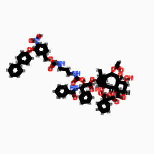 CC(=O)O[C@H]1C(=O)[C@@]2(C)[C@H]([C@H](OC(=O)c3ccccc3)[C@]3(O)C[C@H](OC(=O)[C@H](OC(=O)NCCCNC(=O)OCc4ccc([N+](=O)[O-])c(Oc5ccc(-c6ccccc6)cc5)c4)[C@@H](NC(=O)c4ccccc4)c4ccccc4)C(C)=C1C3(C)C)[C@]1(OC(C)=O)CO[C@@H]1C[C@@H]2O